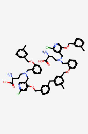 Cc1cccc(COc2ccccc2CN(CC[C@H](N)C(=O)O)Cc2cnc(Cl)cc2OCc2cccc(Cc3cc(C)cc(COc4ccccc4CN(CC[C@H](N)C(=O)O)Cc4cc(Cl)ncc4OCc4cccc(C)c4)c3)c2)c1